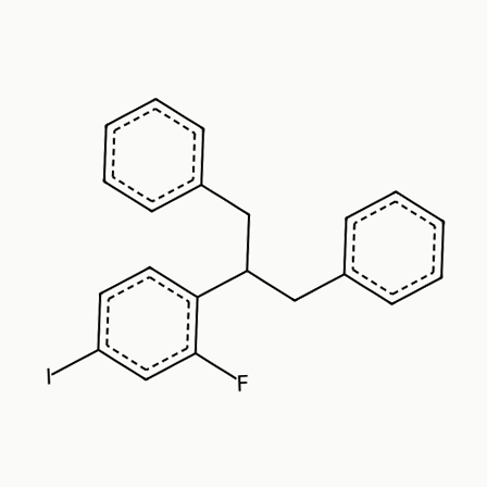 Fc1cc(I)ccc1C(Cc1ccccc1)Cc1ccccc1